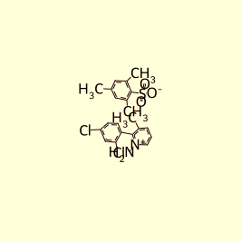 Cc1cc(C)c(S(=O)(=O)[O-])c(C)c1.Cc1ccc[n+](N)c1-c1ccc(Cl)cc1Cl